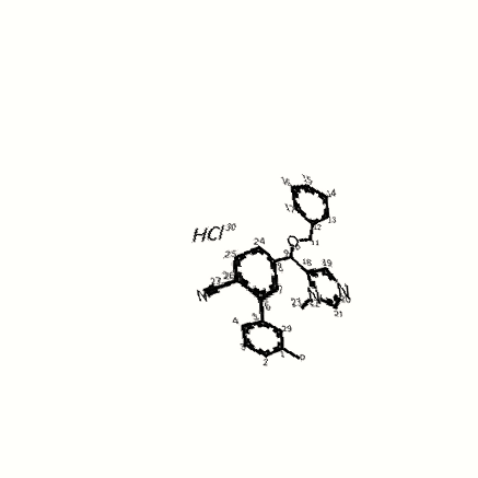 Cc1cccc(-c2cc(C(OCc3ccccc3)c3cncn3C)ccc2C#N)c1.Cl